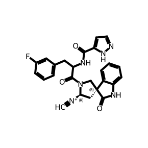 C#[N+][C@@H]1C[C@@]2(CN1C(=O)C(Cc1cccc(F)c1)NC(=O)c1ccn[nH]1)C(=O)Nc1ccccc12